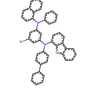 Brc1cc(N(c2ccccc2)c2cccc3ccccc23)cc(N(c2ccc(-c3ccccc3)cc2)c2cccc3c2sc2ccccc23)c1